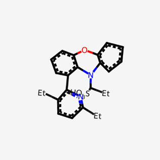 CCc1ccc(CC)c(-c2cccc3c2N(C(CC)S(=O)(=O)O)c2ccccc2O3)n1